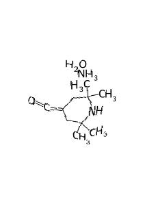 CC1(C)CC(=C=O)CC(C)(C)N1.N.O